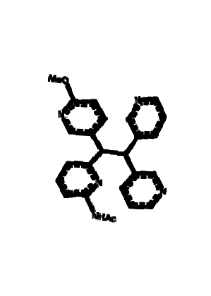 COc1ccc(C(c2cccc(NC(C)=O)n2)C(c2cccnc2)c2cccnc2)cn1